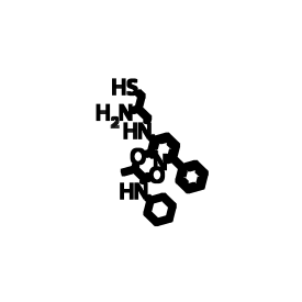 CC(Oc1nc(-c2ccccc2)ccc1NCC(N)CS)C(=O)NC1CCCCC1